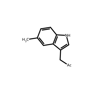 CC(=O)Cc1c[nH]c2ccc(C)cc12